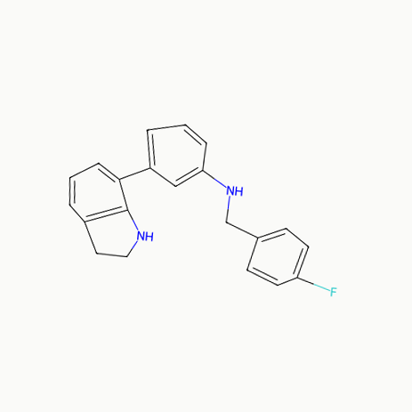 Fc1ccc(CNc2cccc(-c3cccc4c3NCC4)c2)cc1